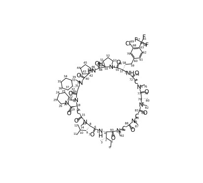 CC[C@H](C)[C@@H]1NC(=O)[C@H](CC(C)C)N(C)C(=O)C[C@@H](C(=O)N2CCCCC2)N(C)C(=O)[C@H](C2CCCCC2)N(C)C(=O)C2(CCCC2)NC(=O)[C@@H]2CCCN2C(=O)[C@H](CCc2ccc(C(F)(F)F)c(Cl)c2)NC(=O)CN(C)C(=O)[C@H](C)N(C)C(=O)CN(C)C(=O)CN(C)C1=O